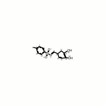 Cc1ccc(S(=O)(=O)/N=C/C2C=CC(O)=C(O)C2)cc1